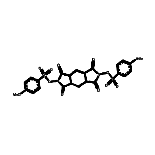 COc1ccc(S(=O)(=O)ON2C(=O)C3CC4C(=O)N(OS(=O)(=O)c5ccc(OC)cc5)C(=O)C4CC3C2=O)cc1